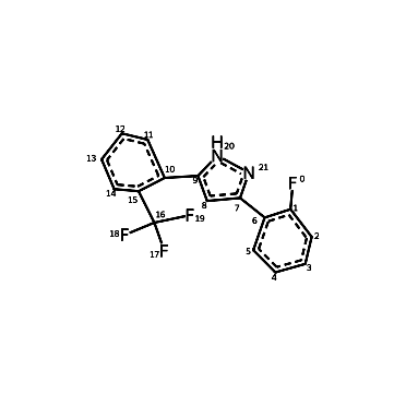 Fc1ccccc1-c1cc(-c2ccccc2C(F)(F)F)[nH]n1